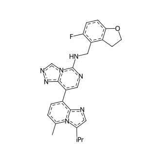 Cc1ccc(-c2cnc(NCc3c(F)ccc4c3CCO4)n3cnnc23)c2ncc(C(C)C)n12